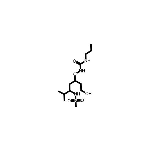 [CH2]CCNC(=O)NOC(CCO)CC(NS(C)(=O)=O)C(C)C